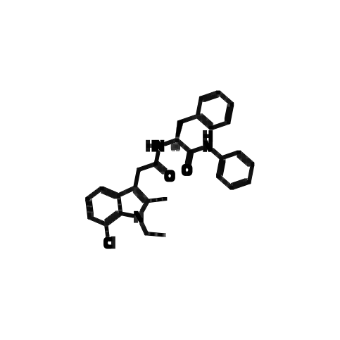 CCn1c(C)c(CC(=O)N[C@@H](Cc2ccccc2)C(=O)Nc2ccccc2)c2cccc(Cl)c21